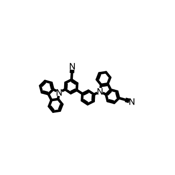 N#Cc1cc(-c2cccc(-n3c4c(c5cc(C#N)ccc53)CCC=C4)c2)cc(N2c3ccccc3C3C=CC=CC32)c1